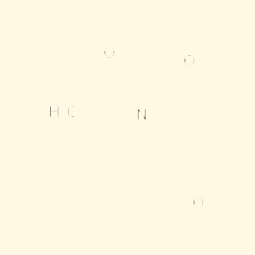 CC(=O)N1CC(=O)CC1=O